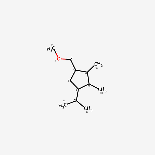 COCC1CC(C(C)C)C(C)C1C